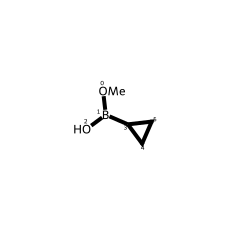 COB(O)C1CC1